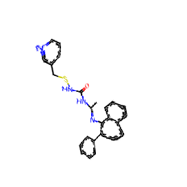 C/C(=N\c1c(-c2ccccc2)ccc2ccccc12)NC(=O)NSCc1cccnc1